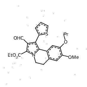 CCOC(=O)c1c(C=O)c(-c2cccs2)c2n1CCc1cc(OC)c(OC(C)C)cc1-2